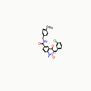 COc1ccc(CNC(=O)c2ccc3c(c2)C(=O)/C(=C\c2cccc(Cl)c2)[S+]([O-])N3C)cc1